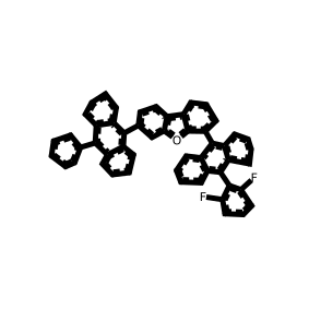 Fc1cccc(F)c1-c1c2ccccc2c(-c2cccc3c2oc2cc(-c4c5ccccc5c(-c5ccccc5)c5ccccc45)ccc23)c2ccccc12